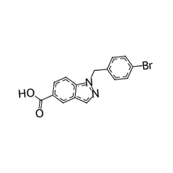 O=C(O)c1ccc2c(cnn2Cc2ccc(Br)cc2)c1